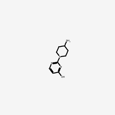 NC1CCN(c2n[c]cc(O)n2)CC1